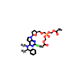 C[C@H](c1ccccc1)N(C)c1nc(Cl)nc2c1ccn2[C@H]1CC[C@@H](COCP(=O)(OCOC(=O)C(C)(C)C)OCOC(=O)C(C)(C)C)O1